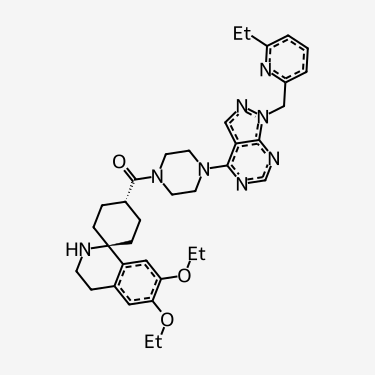 CCOc1cc2c(cc1OCC)[C@]1(CC[C@@H](C(=O)N3CCN(c4ncnc5c4cnn5Cc4cccc(CC)n4)CC3)CC1)NCC2